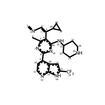 C=N/C=C(\c1c(C)nc(-c2ccnc3[nH]c(C(F)(F)F)cc23)nc1NC1CCNCC1)C1CC1